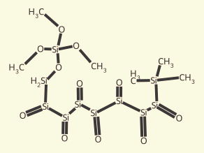 CO[Si](OC)(OC)O[SiH2][Si](=O)[Si](=O)[Si](=O)[Si](=O)[Si](=O)[Si](=O)[Si](=O)[Si](C)(C)C